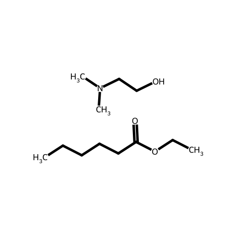 CCCCCC(=O)OCC.CN(C)CCO